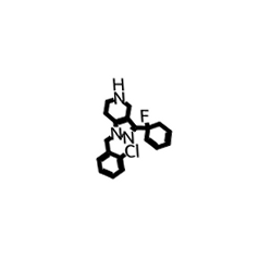 FC1(c2nn(Cc3ccccc3Cl)c3c2CNCC3)C=CC=CC1